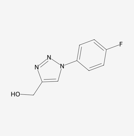 OCc1cn(-c2ccc(F)cc2)nn1